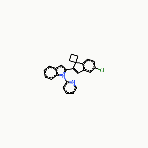 Clc1ccc2c(c1)C=C(c1cc3ccccc3n1-c1ccccn1)C21CCC1